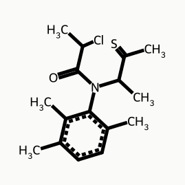 CC(=S)C(C)N(C(=O)C(C)Cl)c1c(C)ccc(C)c1C